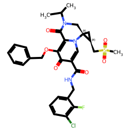 CC(C)N1C[C@]2(C[C@H]2CS(C)(=O)=O)n2cc(C(=O)NCc3cccc(Cl)c3F)c(=O)c(OCc3ccccc3)c2C1=O